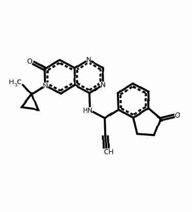 C#CC(Nc1ncnc2cc(=O)n(C3(C)CC3)cc12)c1cccc2c1CCC2=O